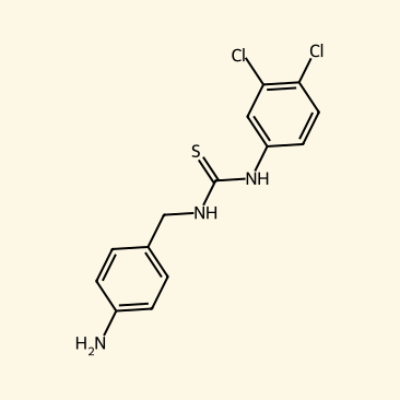 Nc1ccc(CNC(=S)Nc2ccc(Cl)c(Cl)c2)cc1